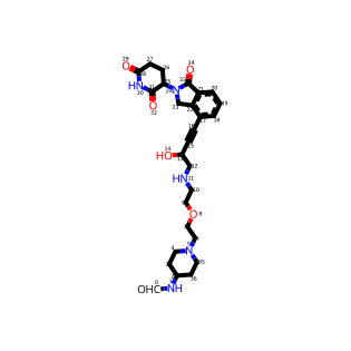 O=CNC1CCN(CCOCCNCC(O)C#Cc2cccc3c2CN(C2CCC(=O)NC2=O)C3=O)CC1